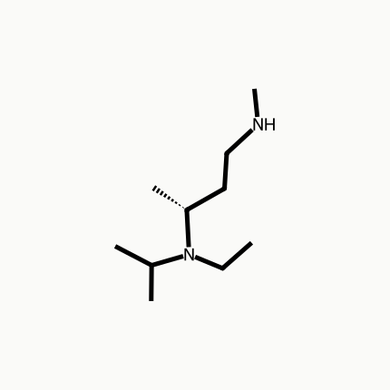 CCN(C(C)C)[C@H](C)CCNC